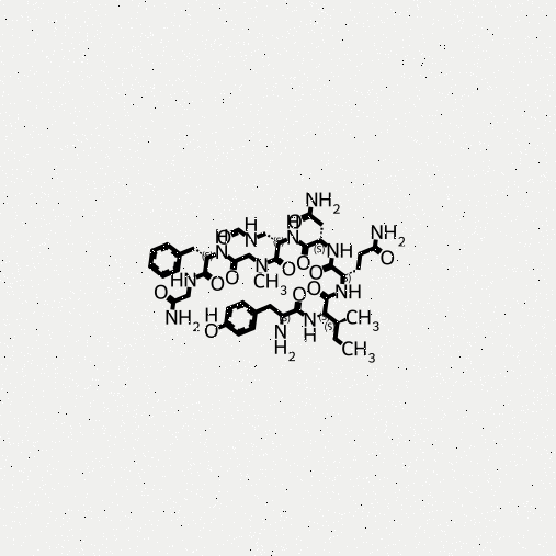 CC[C@H](C)[C@H](NC(=O)[C@@H](N)Cc1ccc(O)cc1)C(=O)N[C@@H](CCC(N)=O)C(=O)N[C@@H](CC(N)=O)C(=O)N[C@@H](CNC=O)C(=O)N(C)CC(=O)N[C@@H](Cc1ccccc1)C(=O)NCC(N)=O